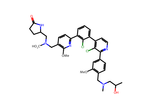 COc1cc(-c2nccc(-c3cccc(-c4ccc(CN(CC5CCC(=O)N5)C(=O)O)c(OC)n4)c3Cl)c2Cl)ccc1CN(C)CC(C)O